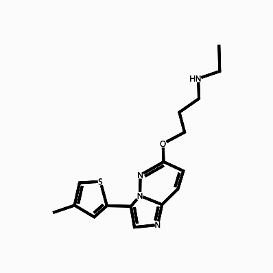 CCNCCCOc1ccc2ncc(-c3cc(C)cs3)n2n1